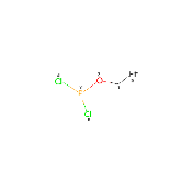 CCCOP(Cl)Cl